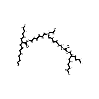 CCCCCCCCC(CCCCCC)C(=O)OCCCCCCN(CCC)CCCCCCOC(=O)OCC(CCCC)CCCCCC